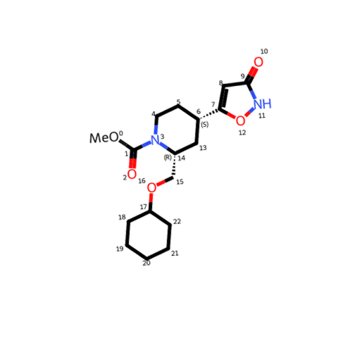 COC(=O)N1CC[C@H](c2cc(=O)[nH]o2)C[C@@H]1COC1CCCCC1